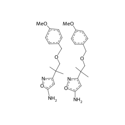 COc1ccc(COCC(C)(C)c2cc(N)on2)cc1.COc1ccc(COCC(C)(C)c2cc(N)on2)cc1